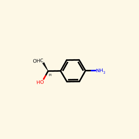 Nc1ccc([C@@H](O)C=O)cc1